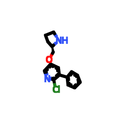 Clc1ncc(OC[C@H]2CCCN2)cc1-c1ccccc1